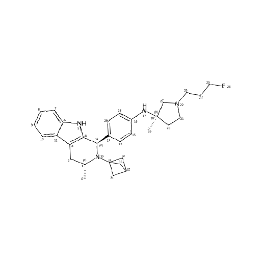 C[C@@H]1Cc2c([nH]c3ccccc23)[C@@H](c2ccc(N[C@]3(C)CCN(CCCF)C3)cc2)N1C12CC(C1)C2